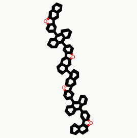 c1ccc2cc3c(cc2c1)oc1ccc(-c2c4ccccc4c(-c4ccc5oc6cc7c(-c8cccc9cc%10c(cc89)oc8ccc(-c9c%11ccccc%11c(-c%11ccc%12oc%13ccc%14ccccc%14c%13c%12c%11)c%11ccccc9%11)cc8%10)cccc7cc6c5c4)c4ccccc24)cc13